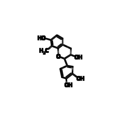 Cc1c(O)ccc2c1OC(c1ccc(O)c(O)c1)C(O)C2